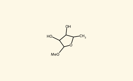 COC1OC(C)C(O)C1O